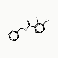 N#Cc1ccnc(C(=O)OCc2ccccc2)c1F